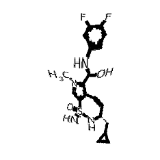 Cn1cc2c(c1C(O)Nc1ccc(F)c(F)c1)C=C[C@H](CC1CC1)NS2(=N)=O